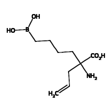 C=CCC(N)(CCCCB(O)O)C(=O)O